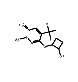 C=N/C=C(\C(=N/SC)OC1CCC1O)C(F)(F)F